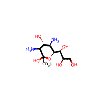 NC1[C@H](O)[C@@H](N)[C@H]([C@H](O)[C@H](O)CO)OC1(O)C(=O)O